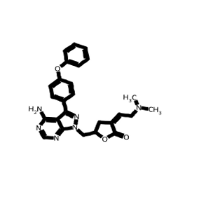 CN(C)CC=C1CC(Cn2nc(-c3ccc(Oc4ccccc4)cc3)c3c(N)ncnc32)OC1=O